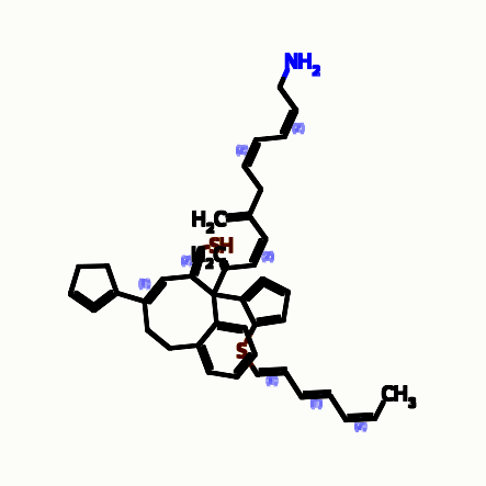 C=C(/C=C\C(=C)C1(C2=C=CC=C2S/C=C/C=C/C=C\C)C(=C\S)/C=C(/C2=C=CCC2)CCc2ccccc21)C/C=C\C=C/CN